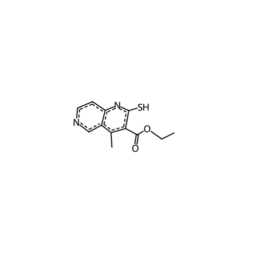 CCOC(=O)c1c(S)nc2ccncc2c1C